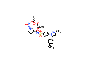 COC(=O)OC(C)On1on1N1CCCC(C(=O)NS(=O)(=O)c2ccc(-n3nc(C(F)(F)F)cc3-c3ccc(C)cc3)cc2)C1